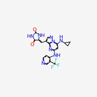 O=C1NC(=O)C(=Cc2cnn3c(NC4CC4)cc(Nc4ccncc4C(F)(F)F)nc23)N1